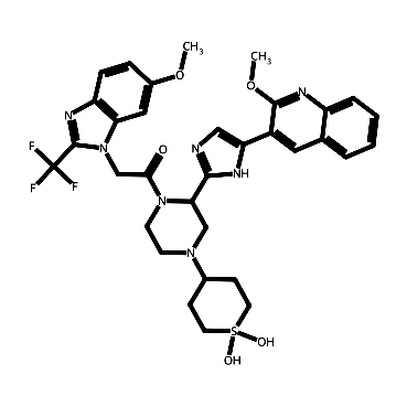 COc1ccc2nc(C(F)(F)F)n(CC(=O)N3CCN(C4CCS(O)(O)CC4)CC3c3ncc(-c4cc5ccccc5nc4OC)[nH]3)c2c1